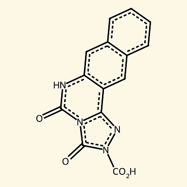 O=C(O)n1nc2c3cc4ccccc4cc3[nH]c(=O)n2c1=O